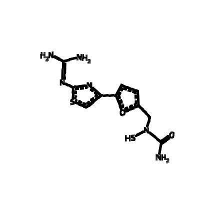 NC(=O)N(S)Cc1ccc(-c2csc(N=C(N)N)n2)o1